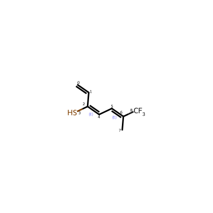 C=C/C(S)=C\C=C(/C)C(F)(F)F